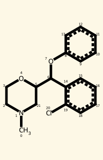 CN1CCOC(C(Oc2ccccc2)c2ccccc2Cl)C1